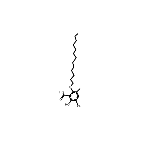 CCCCCCCCCCCCCOc1c(C)cc(O)c(O)c1C(=O)O